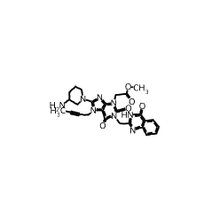 CC#CCn1c(N2CCCC(N)C2)nc2c1c(=O)n(Cc1nc3ccccc3c(=O)[nH]1)c(=O)n2CC(=O)OC